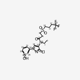 CCN(C(=O)CCS(=O)(=O)CCCC(F)(F)F)c1cn(-c2ccc[n+](O)c2)nc1Cl